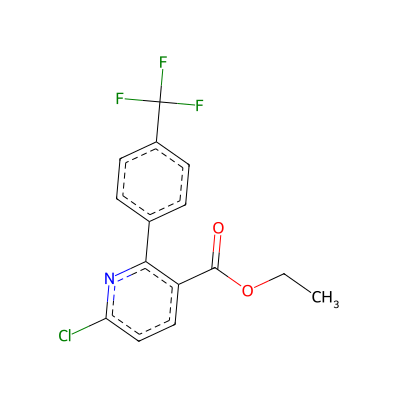 CCOC(=O)c1ccc(Cl)nc1-c1ccc(C(F)(F)F)cc1